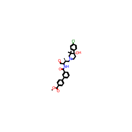 COC(=O)c1ccc(-c2cccc(C(=O)NC(C=O)[C@@H](C)CN3CC[C@](O)(c4ccc(Cl)cc4)C(C)(C)C3)c2)cc1